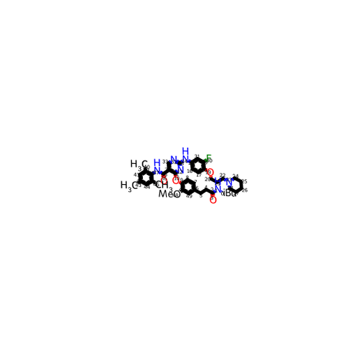 CC[C@@H](C)NC(=O)CCc1ccc(Oc2nc(Nc3ccc(OCCCN4CCCCC4)c(F)c3)ncc2C(=O)Nc2c(C)cc(C)cc2C)c(OC)c1